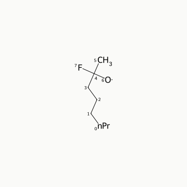 CCCCCCC(C)([O])F